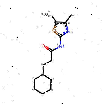 CCOC(=O)c1sc(NC(=O)CCC2CCCCC2)nc1C